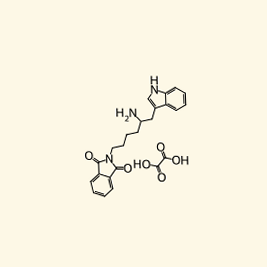 NC(CCCCN1C(=O)c2ccccc2C1=O)Cc1c[nH]c2ccccc12.O=C(O)C(=O)O